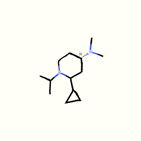 CC(C)N1CC[C@H](N(C)C)CC1C1CC1